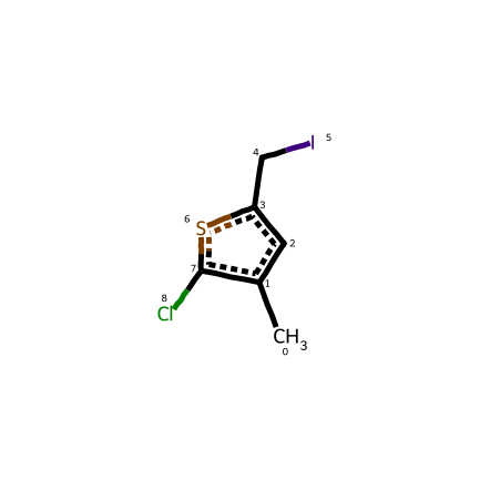 Cc1cc(CI)sc1Cl